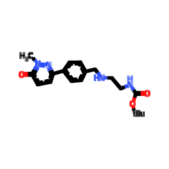 Cn1nc(-c2ccc(CNCCNC(=O)OC(C)(C)C)cc2)ccc1=O